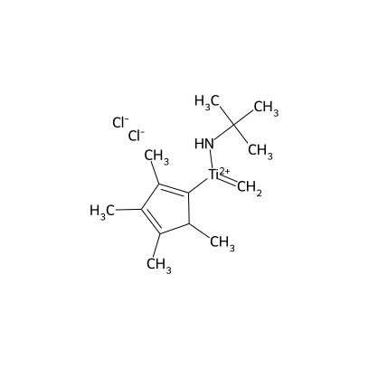 [CH2]=[Ti+2]([NH]C(C)(C)C)[C]1=C(C)C(C)=C(C)C1C.[Cl-].[Cl-]